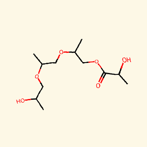 CC(O)COC(C)COC(C)COC(=O)C(C)O